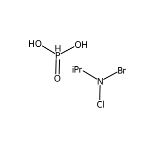 CC(C)N(Cl)Br.O=[PH](O)O